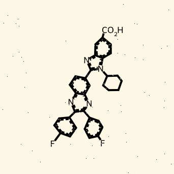 O=C(O)c1ccc2c(c1)nc(-c1ccc3nc(-c4ccc(F)cc4)c(-c4ccc(F)cc4)nc3c1)n2C1CCCCC1